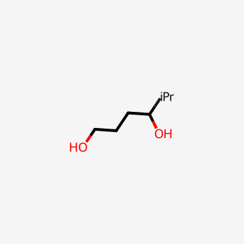 CC(C)C(O)CCCO